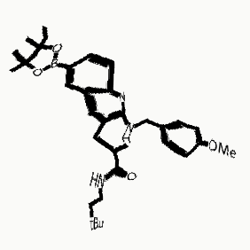 COc1ccc(CNc2nc3ccc(B4OC(C)(C)C(C)(C)O4)cc3cc2/C=C(\C)C(=O)NCCC(C)(C)C)cc1